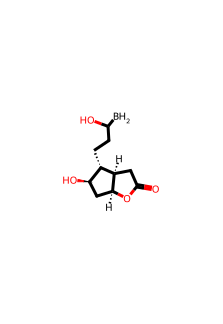 BC(O)CC[C@@H]1[C@H]2CC(=O)O[C@H]2C[C@H]1O